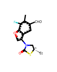 CC[C@H]1CN(c2coc3c(F)c(C)c(C=O)cc23)C(=O)S1